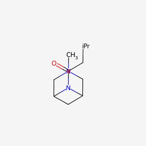 CC(C)CC(=O)N1C2CC1CN(C)C2